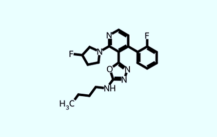 CCCCNc1nnc(-c2c(-c3ccccc3F)ccnc2N2CCC(F)C2)o1